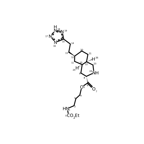 CCOC(=O)NCCCOC(=O)[C@@H]1C[C@H]2C[C@@H](CCc3nn[nH]n3)CC[C@H]2CN1